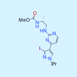 COC(=O)N[C@H](C)CNc1nccc(-c2cn(C(C)C)nc2I)n1